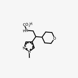 Cn1cc(C(CNC(=O)O)C2CCOCC2)cn1